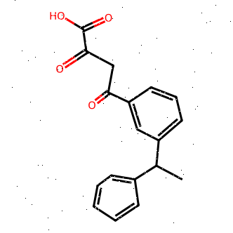 CC(c1ccccc1)c1cccc(C(=O)CC(=O)C(=O)O)c1